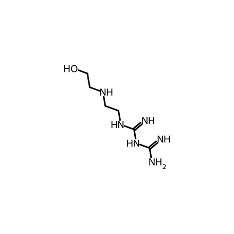 N=C(N)NC(=N)NCCNCCO